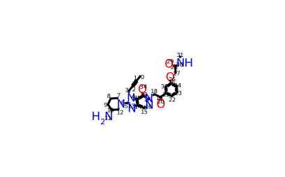 CC#CCn1c(N2CCCC(N)C2)nc2cnn(CC(=O)c3cccc(OCC(=O)NC)c3)c(=O)c21